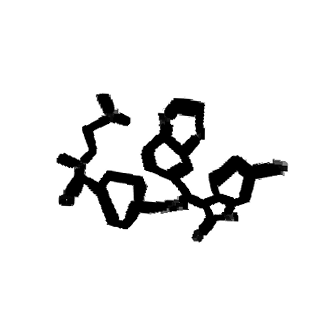 CN(C)CCN(C)C(=O)c1ccc(N/C(=C2\C(=O)Nc3cc(F)ccc32)c2ccc3nccnc3c2)cc1